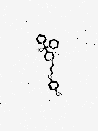 N#Cc1ccc(OCCCN2CCC(C(O)(c3ccccc3)C3CCCCC3)CC2)cc1